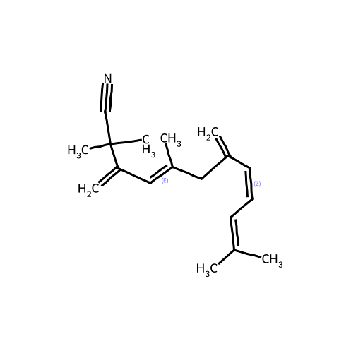 C=C(/C=C\C=C(C)C)C/C(C)=C/C(=C)C(C)(C)C#N